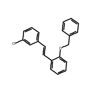 Clc1cccc(C=Cc2ccccc2OCc2ccccc2)c1